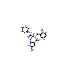 CC(C)c1cc2n(n1)CC(C)(C(=O)NC1CCCCC1)N(Cc1ccccc1Cl)C2=O